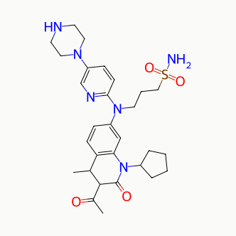 CC(=O)C1C(=O)N(C2CCCC2)c2cc(N(CCCS(N)(=O)=O)c3ccc(N4CCNCC4)cn3)ccc2C1C